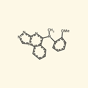 COc1ccccc1N(C)c1nc2nncn2c2ccccc12